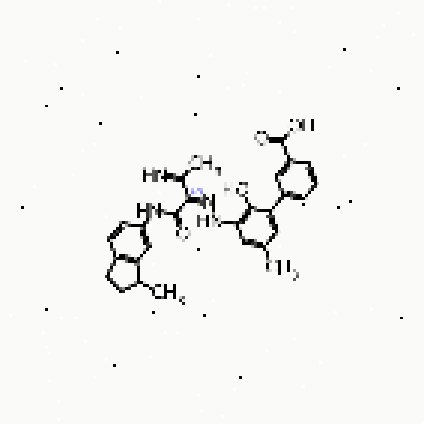 CC(=N)/C(=N/Nc1cc(C)cc(-c2cccc(C(=O)O)c2)c1O)C(=O)Nc1ccc2c(c1)C(C)CC2